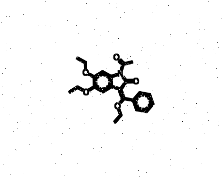 CCOC(=C1C(=O)N(C(C)=O)c2cc(OCC)c(OCC)cc21)c1ccccc1